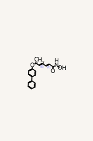 C[C@H](/C=C/C=C/C(=O)NO)Oc1ccc(-c2ccccc2)cc1